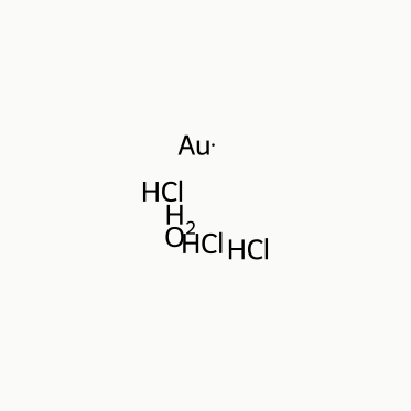 Cl.Cl.Cl.O.[Au]